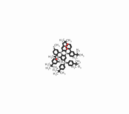 CSC1C=C2B3c4cc5c(cc4N(c4ccc(C(C)(C)C)cc4-c4ccccc4)c4cc(N(c6ccc(C(C)(C)C)cc6)c6ccc(C(C)(C)C)cc6)cc(c43)N(c3ccc(C(C)(C)C)cc3C)C2(C(C)C)CC1)CC(C)(C)C5